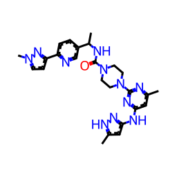 Cc1cc(Nc2cc(C)[nH]n2)nc(N2CCN(C(=O)NC(C)c3ccc(-c4ccn(C)n4)nc3)CC2)n1